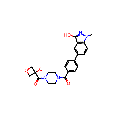 Cn1nc(O)c2cc(-c3ccc(C(=O)N4CCN(C(=O)C5(O)COC5)CC4)cc3)ccc21